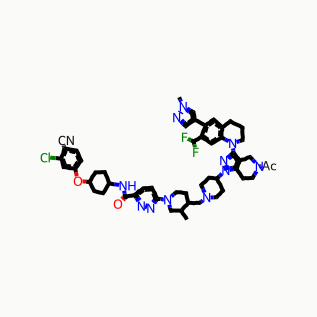 CC(=O)N1CCc2c(c(N3CCCc4cc(-c5cnn(C)c5)c(C(F)F)cc43)nn2C2CCN(CC3CCN(c4ccc(C(=O)NC5CCC(Oc6ccc(C#N)c(Cl)c6)CC5)nn4)CC3C)CC2)C1